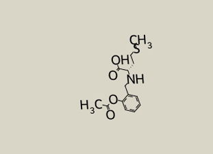 CSCC[C@H](NCc1ccccc1OC(C)=O)C(=O)O